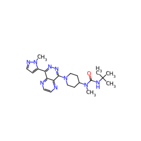 CN(C(=O)NC(C)(C)C)C1CCN(c2nnc(-c3ccnn3C)c3nccnc23)CC1